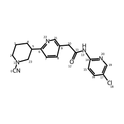 N#CN1CCCC(c2ccc(CC(=O)Nc3ccc(Cl)cn3)cn2)C1